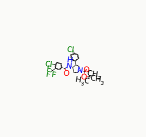 CC(C)(C)OC(=O)N1CCC(NC(=O)c2ccc(Cl)c(C(F)(F)F)c2)C(c2ccc(Cl)cc2)C1